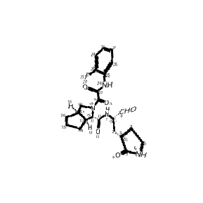 O=C[C@H](C[C@@H]1CCNC1=O)NC(=O)[C@@H]1[C@H]2CCC[C@H]2CN1C(=O)C(=O)Nc1ccccc1F